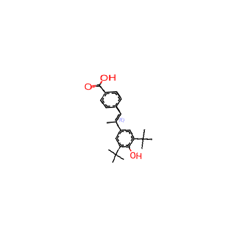 C/C(=C\c1ccc(C(=O)O)cc1)c1cc(C(C)(C)C)c(O)c(C(C)(C)C)c1